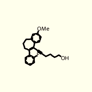 COc1ccc2c(c1)CCCC(c1ccccc1F)=C2C#CCCCCO